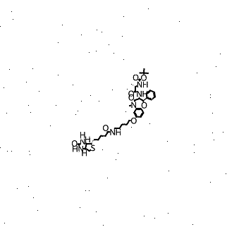 C[C@H](NC(=O)OC(C)(C)C)C(=O)N[C@@H]1C(=O)N(C)c2cc(OCCCCCNC(=O)CCCC[C@@H]3SC[C@@H]4NC(=O)N[C@@H]43)ccc2O[C@@H]1c1ccccc1